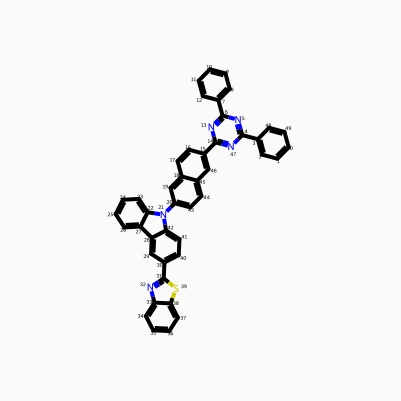 c1ccc(-c2nc(-c3ccccc3)nc(-c3ccc4cc(-n5c6ccccc6c6cc(-c7nc8ccccc8s7)ccc65)ccc4c3)n2)cc1